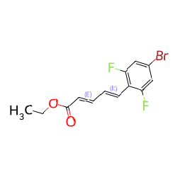 CCOC(=O)/C=C/C=C/c1c(F)cc(Br)cc1F